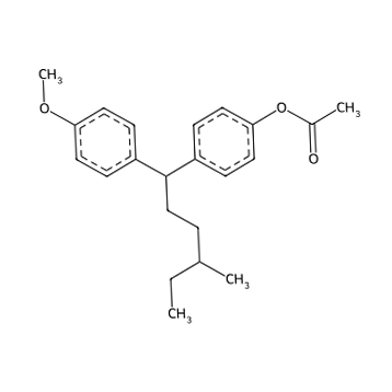 CCC(C)CCC(c1ccc(OC)cc1)c1ccc(OC(C)=O)cc1